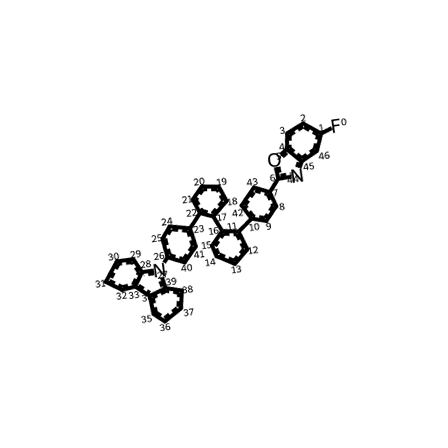 Fc1ccc2oc(-c3ccc(-c4ccccc4-c4ccccc4-c4ccc(-n5c6ccccc6c6ccccc65)cc4)cc3)nc2c1